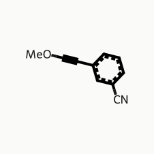 COC#Cc1cccc(C#N)c1